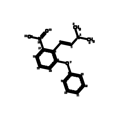 CN(C)/C=C/c1c(Oc2ccccc2)cccc1[N+](=O)[O-]